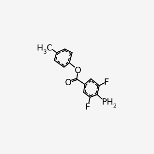 Cc1ccc(OC(=O)c2cc(F)c(P)c(F)c2)cc1